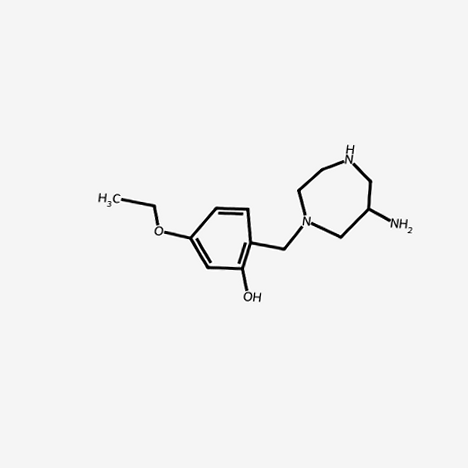 CCOc1ccc(CN2CCNCC(N)C2)c(O)c1